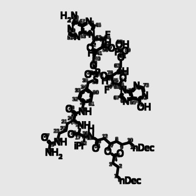 CCCCCCCCCCCCCC(=O)OC(CCCCCCCCCCCCC)CC(=O)N[C@H](C(=O)N[C@@H](CCCNC(N)=O)C(=O)Nc1ccc(CSP2(=O)OC[C@H]3O[C@@H](n4cnc5c(N)ncnc54)[C@H](F)[C@@H]3OP(=O)(O)OC[C@H]3O[C@@H](n4cnc5c(O)ncnc54)[C@H](F)[C@@H]3O2)cc1)C(C)C